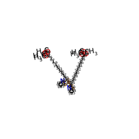 CO[Si](CCCCCCCCCCCCCCCCCC(SSC(CCCCCCCCCCCCCCCCC[Si](OC)(OC)OC)c1nc2ccccc2s1)c1nc2ccccc2s1)(OC)OC